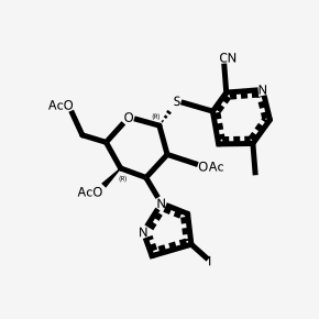 CC(=O)OCC1O[C@H](Sc2cc(C)cnc2C#N)C(OC(C)=O)C(n2cc(I)cn2)[C@H]1OC(C)=O